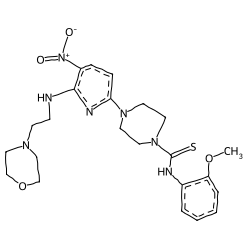 COc1ccccc1NC(=S)N1CCN(c2ccc([N+](=O)[O-])c(NCCN3CCOCC3)n2)CC1